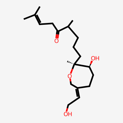 CC(C)=CCC(=O)C(C)CCC[C@]1(C)OCC(=CCO)CC[C@@H]1O